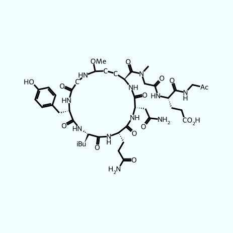 CC[C@H](C)[C@@H]1NC(=O)[C@H](Cc2ccc(O)cc2)NC(=O)CNC(OC)CC[C@@H](C(=O)N(C)CC(=O)N[C@@H](CCC(=O)O)C(=O)NCC(C)=O)NC(=O)[C@H](CC(N)=O)NC(=O)[C@H](CCC(N)=O)NC1=O